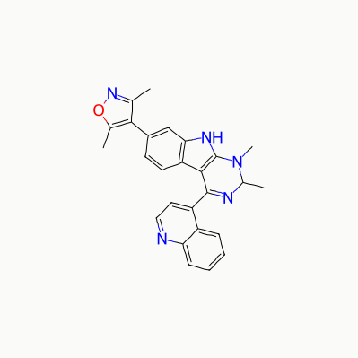 Cc1noc(C)c1-c1ccc2c3c([nH]c2c1)N(C)C(C)N=C3c1ccnc2ccccc12